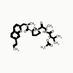 C/C=C/c1ccc2ccc(CN(C)C(=O)[C@@H]3CCCN(C(=O)[C@H](C)NC(=O)[C@@H](OC(C)=O)C(C)C)N3)nc2c1